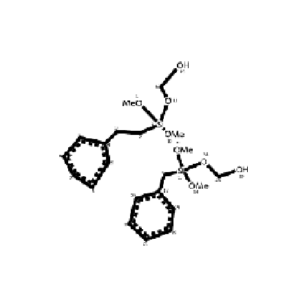 CO[Si](CCc1ccccc1)(OC)OCO.CO[Si](Cc1ccccc1)(OC)OCO